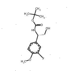 COc1ccc([C@@H](CO)NC(=O)OC(C)(C)C)cc1F